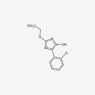 CCOC(=O)COc1nc(-c2ccccc2Cl)n(O)n1